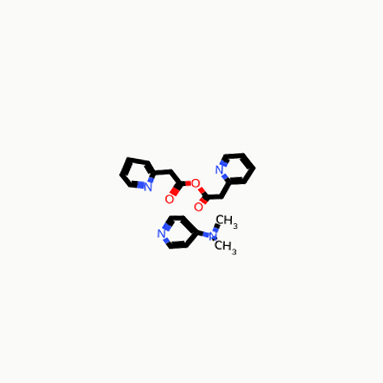 CN(C)c1ccncc1.O=C(Cc1ccccn1)OC(=O)Cc1ccccn1